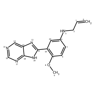 C=CCNc1ccc(OC)c(-c2nc3cncnc3[nH]2)c1